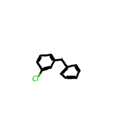 Clc1cccc([CH]c2ccccc2)c1